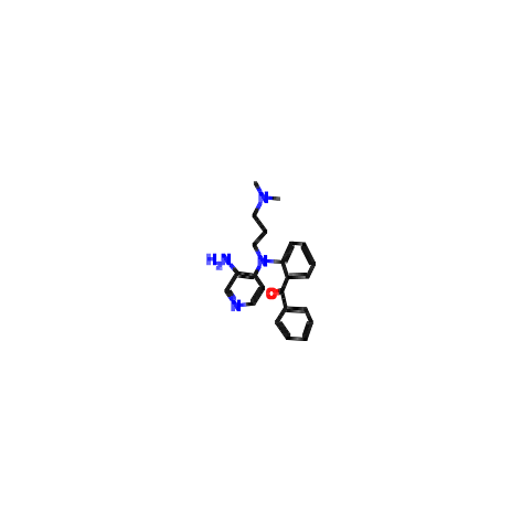 CN(C)CCCN(c1ccncc1N)c1ccccc1C(=O)c1ccccc1